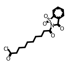 O=C(Cl)CCCCCCCCC(=O)N1C(=O)c2ccccc2S1(=O)=O